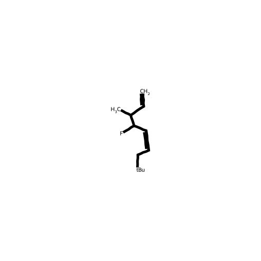 C=CC(C)C(F)/C=C\CC(C)(C)C